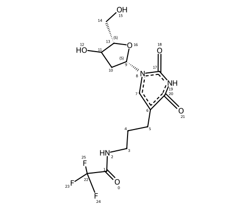 O=C(NCCCc1cn([C@@H]2CC(O)[C@H](CO)O2)c(=O)[nH]c1=O)C(F)(F)F